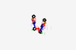 O=C(O)C(Oc1ccc(Cl)cc1CNC1CCN(S(=O)(=O)Cc2ccccc2)C1)Oc1ccc(Cl)cc1CNC1CCN(S(=O)(=O)Cc2ccccc2)C1